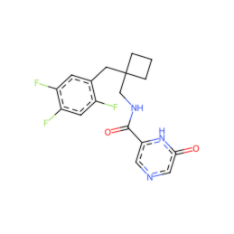 O=C(NCC1(Cc2cc(F)c(F)cc2F)CCC1)c1cncc(=O)[nH]1